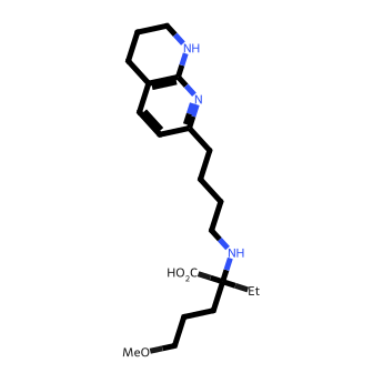 CCC(CCCOC)(NCCCCc1ccc2c(n1)NCCC2)C(=O)O